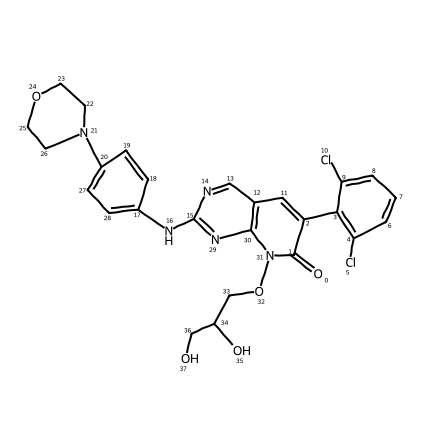 O=c1c(-c2c(Cl)cccc2Cl)cc2cnc(Nc3ccc(N4CCOCC4)cc3)nc2n1OCC(O)CO